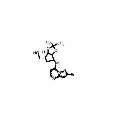 CC1(C)OC2C(Nc3ccnc4cc(Br)nn34)C[C@H](CO)[C@H]2O1